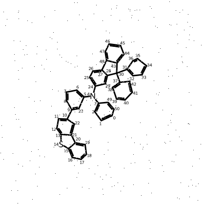 c1ccc(N(c2cccc(-c3ccc4sc5ccccc5c4c3)c2)c2ccc3c(c2)C(c2ccccc2)(c2ccccc2)c2ccccc2-3)cc1